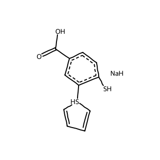 O=C(O)c1ccc(S)c([SH]2C=CC=C2)c1.[NaH]